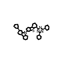 c1ccc(-c2ccc3c4ccccc4n(-c4ccc5c(c4)sc4c(-c6nc(-c7ccccc7)nc(-c7ccccc7)n6)cccc45)c3c2)cc1